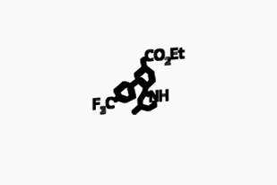 CCOC(=O)Cc1ccc(C2CC(C)CCN2)c(-c2ccc(C(F)(F)F)cc2)c1